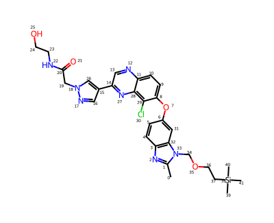 Cc1nc2ccc(Oc3ccc4ncc(-c5cnn(CC(=O)NCCO)c5)nc4c3Cl)cc2n1COCC[Si](C)(C)C